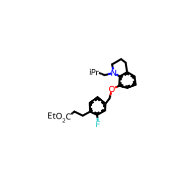 CCOC(=O)CCc1ccc(COc2cccc3c2N(CC(C)C)CCC3)cc1F